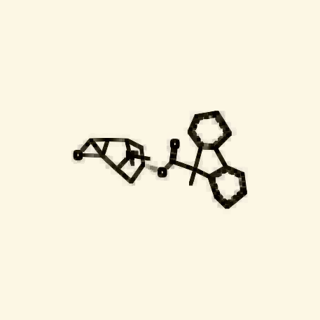 CC1(C(=O)O[C@H]2CC3C4C5OC54C(C2)[N+]3(C)C)c2ccccc2-c2ccccc21